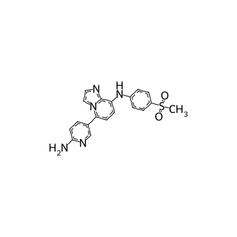 CS(=O)(=O)c1ccc(Nc2ccc(-c3ccc(N)nc3)n3ccnc23)cc1